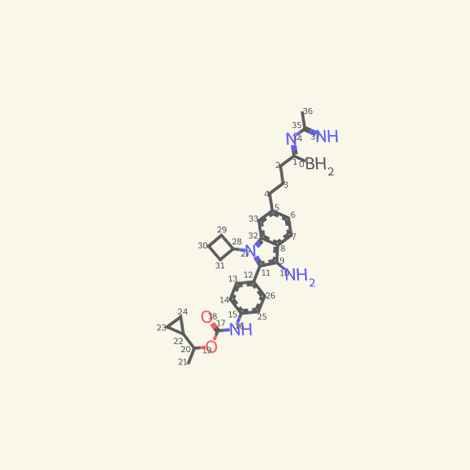 B/C(CCCc1ccc2c(N)c(-c3ccc(NC(=O)OC(C)C4CC4)cc3)n(C3CCC3)c2c1)=N\C(C)=N